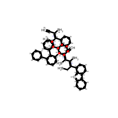 BC/C(=C(B)\C(B)=C(/C#C)N(C/C(B)=C(B)\C(=C(\B)C#C)c1ccccc1)c1cccc(-c2ccccc2)c1-c1ccccc1-c1ccccc1)c1cccc2c1oc1ccccc12